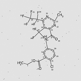 CCOC(=O)c1cc(NC(=O)c2nc(C)nc(C(F)(F)C(F)(F)F)c2C(F)(F)F)ccc1Cl